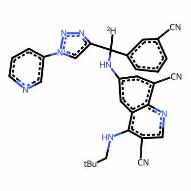 [2H]C(Nc1cc(C#N)c2ncc(C#N)c(NCC(C)(C)C)c2c1)(c1cccc(C#N)c1)c1cn(-c2cccnc2)nn1